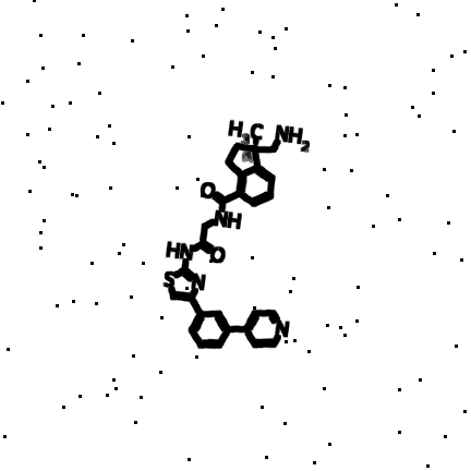 C[C@]1(CN)CCc2c(C(=O)NCC(=O)Nc3nc(-c4cccc(-c5ccncc5)c4)cs3)cccc21